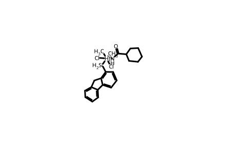 [CH3][Hf]([CH3])([Cl])([Cl])([NH]C(=O)C1CCCCC1)[SiH2]c1cccc2c1Cc1ccccc1-2